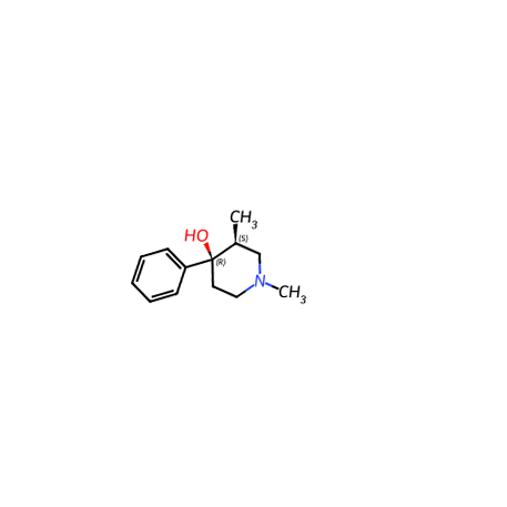 C[C@H]1CN(C)CC[C@]1(O)c1ccccc1